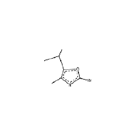 Cc1nc(Br)oc1C(C)C